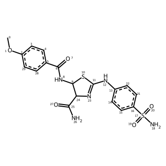 COc1ccc(C(=O)NC2SC(Nc3ccc(S(N)(=O)=O)cc3)=NC2C(N)=O)cc1